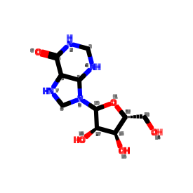 O=C1NCNC2C1NCN2C1O[C@H](CO)[C@@H](O)[C@H]1O